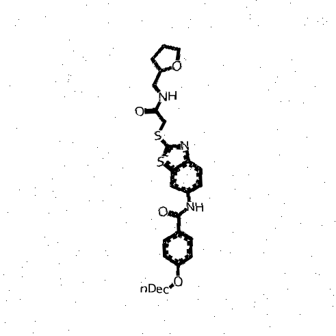 CCCCCCCCCCOc1ccc(C(=O)Nc2ccc3nc(SCC(=O)NCC4CCCO4)sc3c2)cc1